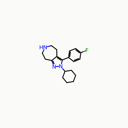 Fc1ccc(-c2c3c(nn2C2CCCCC2)CCNCC3)cc1